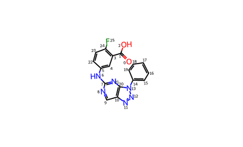 O=C(O)c1cc(Nc2ncc3nnn(-c4ccccc4)c3n2)ccc1F